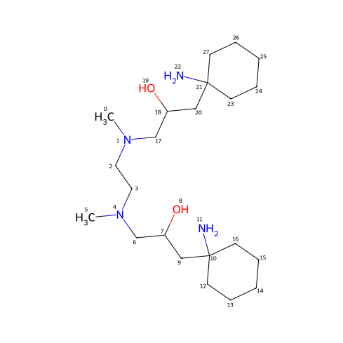 CN(CCN(C)CC(O)CC1(N)CCCCC1)CC(O)CC1(N)CCCCC1